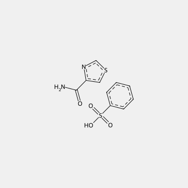 NC(=O)c1cscn1.O=S(=O)(O)c1ccccc1